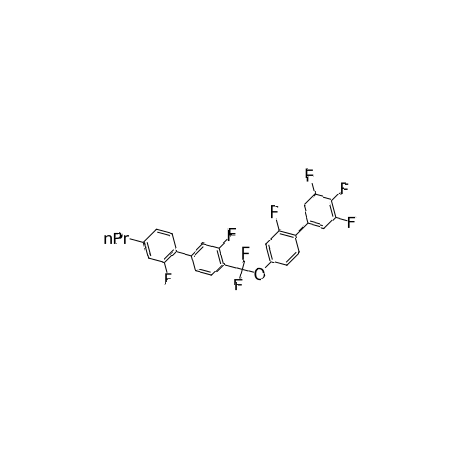 CCCc1ccc(-c2ccc(C(F)(F)Oc3ccc(C4=CC(F)=C(F)C(F)C4)c(F)c3)c(F)c2)c(F)c1